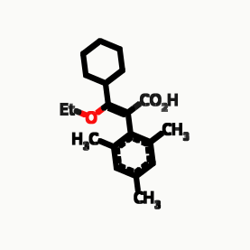 CCO/C(=C(/C(=O)O)c1c(C)cc(C)cc1C)C1CCCCC1